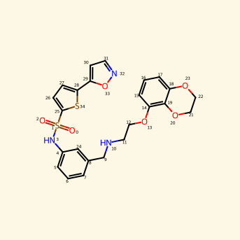 O=S(=O)(Nc1cccc(CNCCOc2cccc3c2OCCO3)c1)c1ccc(-c2ccno2)s1